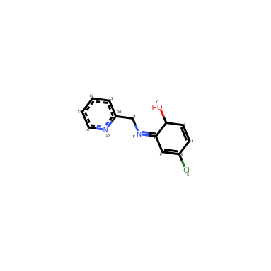 OC1C=CC(Cl)=CC1=NCc1ccccn1